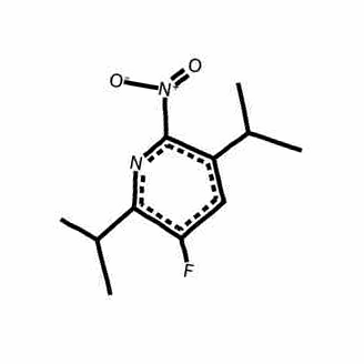 CC(C)c1cc(F)c(C(C)C)nc1[N+](=O)[O-]